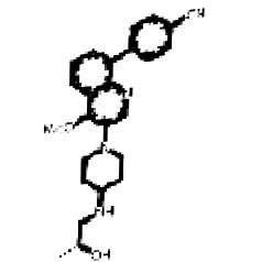 COc1c(N2CCC(NC[C@@H](C)O)CC2)cnc2c(-c3ccc(C#N)cc3)cccc12